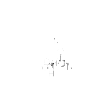 CC(C)OC(=O)N[C@H]1Cc2c(n(C[C@H]3N(C)CC[C@]3(C)O)c3ccc(C#N)cc23)C1